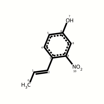 C/C=C/c1ccc(O)cc1[N+](=O)[O-]